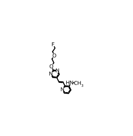 CNc1cccnc1C=Cc1cnc(OCCOCCF)nc1